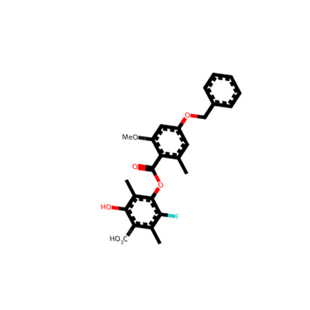 COc1cc(OCc2ccccc2)cc(C)c1C(=O)Oc1c(C)c(O)c(C(=O)O)c(C)c1F